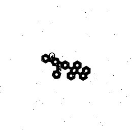 c1ccc(-n2c3cc(-c4c5ccccc5c(-c5cccc6ccccc56)c5ccccc45)ccc3c3cc4oc5ccccc5c4cc32)cc1